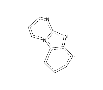 [c]1cccc2c1nc1ncccn12